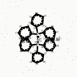 [Br-].c1ccc(P(=[N+]=P(c2ccccc2)(c2ccccc2)c2ccccc2)(c2ccccc2)c2ccccc2)cc1